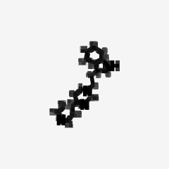 C1=CN(CCc2c[nH]c3ccccc23)CN=C1c1ccncc1